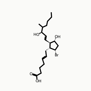 CCCCC(C)[C@H](O)C=C[C@@H]1[C@@H](CC=CCCCC(=O)O)[C@@H](Br)C[C@H]1O